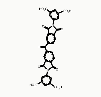 O=C(O)c1cc(C(=O)O)cc(N2C(=O)c3ccc(C(=O)c4ccc5c(c4)C(=O)N(c4cc(C(=O)O)cc(C(=O)O)c4)C5=O)cc3C2=O)c1